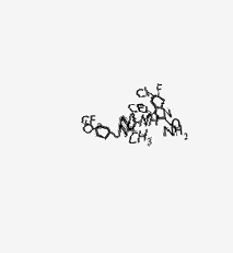 Cc1c(NC(=O)c2cc(C(N)=O)nc3cc(F)c(Cl)cc23)c(C(F)(F)F)nn1Cc1ccc(OC(F)(F)F)cc1